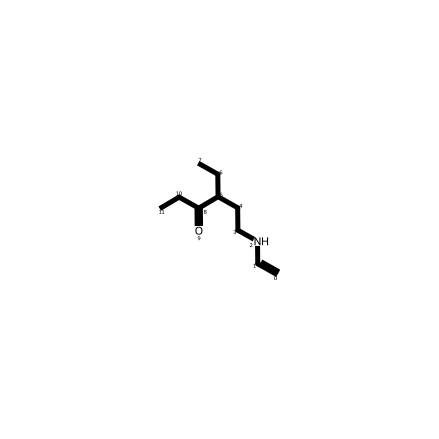 C=CNCCC(CC)C(=O)CC